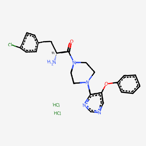 Cl.Cl.N[C@H](Cc1ccc(Cl)cc1)C(=O)N1CCN(c2ncncc2Oc2ccccc2)CC1